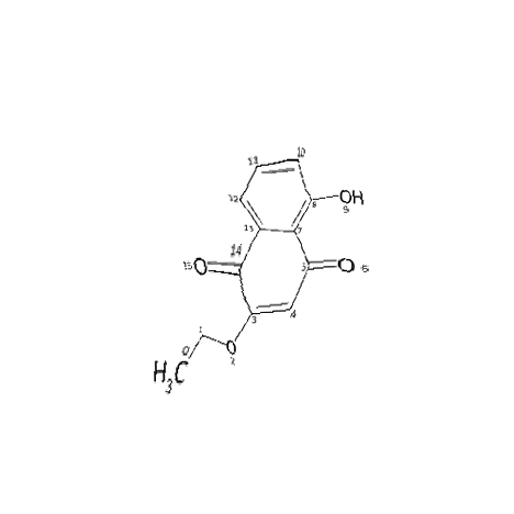 CCOC1=CC(=O)c2c(O)cccc2C1=O